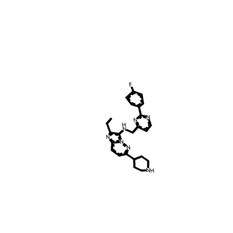 CCc1nc2ccc(C3CCNCC3)nn2c1NCc1ccnc(-c2ccc(F)cc2)n1